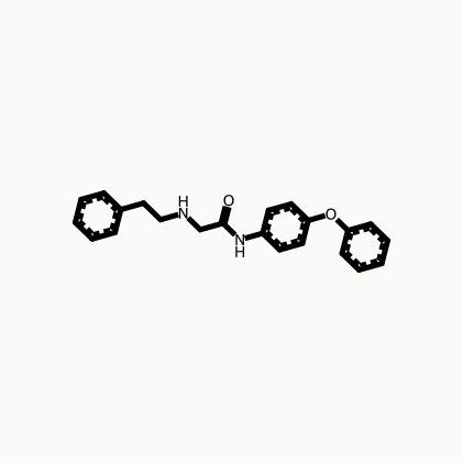 O=C(CNCCc1ccccc1)Nc1ccc(Oc2ccccc2)cc1